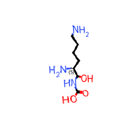 NCCCC[C@H](N)C(O)NC(=O)O